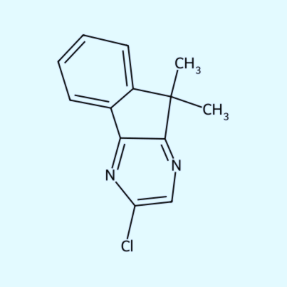 CC1(C)c2ccccc2-c2nc(Cl)cnc21